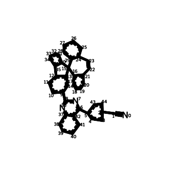 N#Cc1ccc(-c2nc(-c3ccc4c(c3)C3(c5ccccc5C=Cc5ccccc53)c3ccccc3-4)nc3ccccc23)cc1